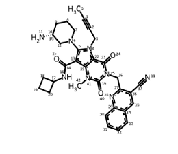 CC#CCn1c(N2CCC[C@@H](N)C2)c(C(=O)NC2CCC2)c2c1c(=O)n(Cc1nc3ccccc3cc1C#N)c(=O)n2C